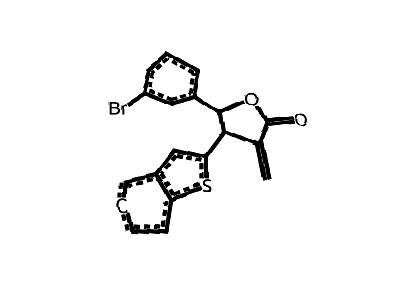 C=C1C(=O)OC(c2cccc(Br)c2)C1c1cc2ccccc2s1